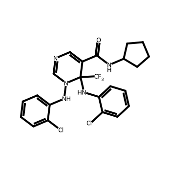 O=C(NC1CCCC1)C1=CN=CN(Nc2ccccc2Cl)C1(Nc1ccccc1Cl)C(F)(F)F